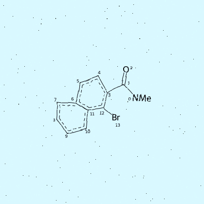 CNC(=O)c1ccc2ccccc2c1Br